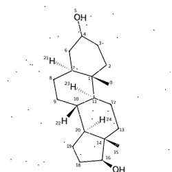 C[C@]12CCC(O)C[C@@H]1CC[C@@H]1[C@@H]2CC[C@]2(C)[C@@H](O)CC[C@@H]12